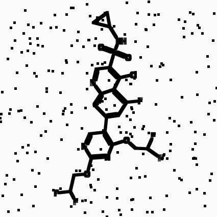 O=S(=O)(NC1CC1)c1cnc2cc(-c3cnc(OCC(F)F)nc3OCC(F)F)cc(F)c2c1Cl